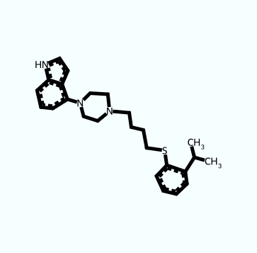 CC(C)c1ccccc1SCCCCN1CCN(c2cccc3[nH]ccc23)CC1